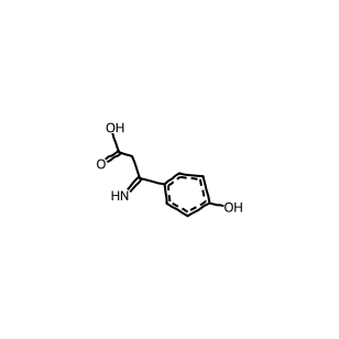 N=C(CC(=O)O)c1ccc(O)cc1